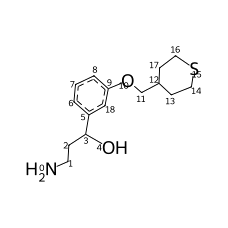 NCCC(O)c1cccc(OCC2CCSCC2)c1